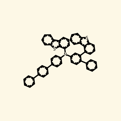 c1ccc(-c2ccc(-c3ccc(N(c4ccc(-c5ccccc5)c(-c5cccc6sc7ccccc7c56)c4)c4cccc5c4sc4ccccc45)cc3)cc2)cc1